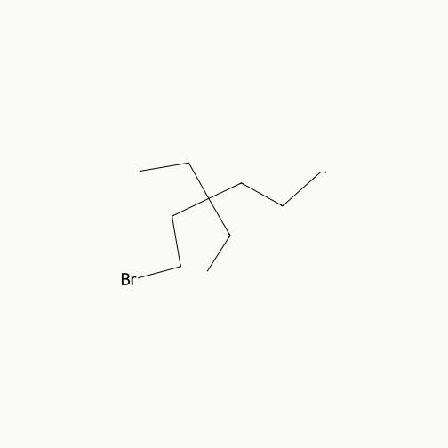 [CH2]CCC(CC)(CC)CCBr